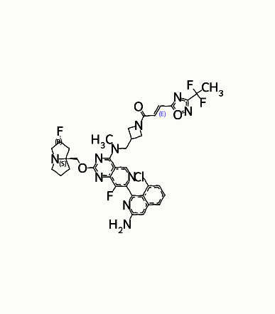 CN(CC1CN(C(=O)/C=C/c2nc(C(C)(F)F)no2)C1)c1nc(OC[C@@]23CCCN2C[C@H](F)C3)nc2c(F)c(-c3nc(N)cc4cccc(Cl)c34)ncc12